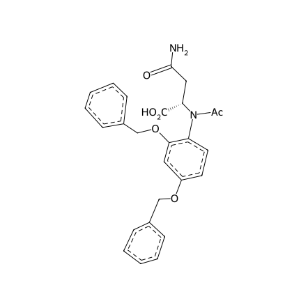 CC(=O)N(c1ccc(OCc2ccccc2)cc1OCc1ccccc1)[C@@H](CC(N)=O)C(=O)O